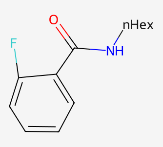 CCCCCCNC(=O)c1ccccc1F